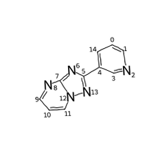 c1cncc(-c2nc3ncccn3n2)c1